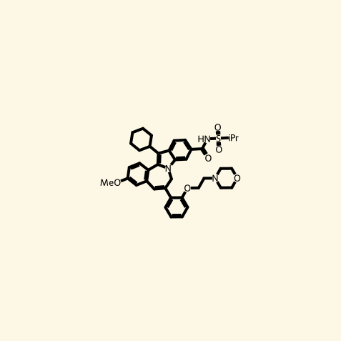 COc1ccc2c(c1)C=C(c1ccccc1OCCN1CCOCC1)Cn1c-2c(C2CCCCC2)c2ccc(C(=O)NS(=O)(=O)C(C)C)cc21